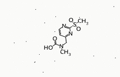 CN(Cc1ccnc(S(C)(=O)=O)n1)C(=O)O